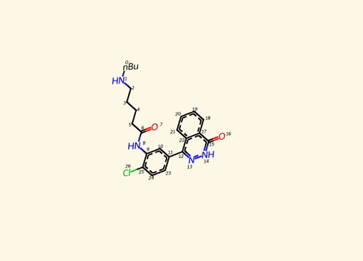 CCCCNCCCCC(=O)Nc1cc(-c2n[nH]c(=O)c3ccccc23)ccc1Cl